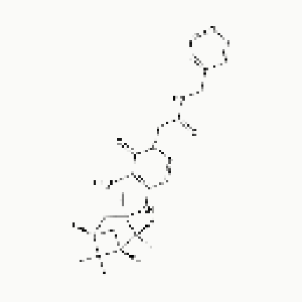 C[C@@H]1[C@H]2C[C@@H](C[C@H]1Nc1cnn(CC(=O)NCc3ccncc3)c(=O)c1C(=O)O)C2(C)C